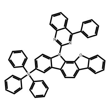 c1ccc(-c2nc(-n3c4ccc([Si](c5ccccc5)(c5ccccc5)c5ccccc5)cc4c4ccc5c6ccccc6oc5c43)nc3ccccc23)cc1